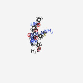 C#CCN(C(=O)NCc1ccc(OC)cc1)N1CC(=O)N2[C@@H](Cc3ccc(NC(=O)c4ccccc4)cc3)C(=O)N(Cc3cccc4sc(N)nc34)C[C@@H]21